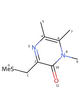 CSCc1nc(C)c(C)n(C)c1=O